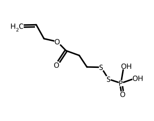 C=CCOC(=O)CCSSP(=O)(O)O